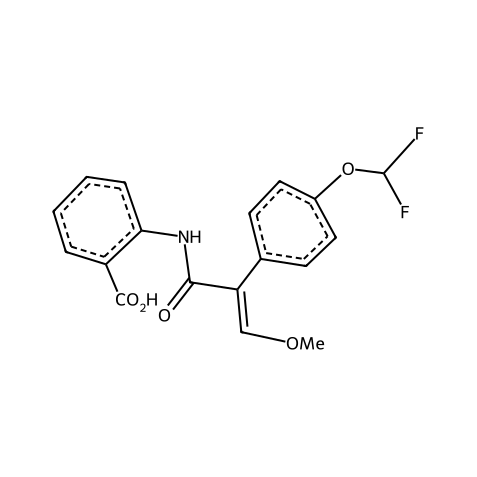 COC=C(C(=O)Nc1ccccc1C(=O)O)c1ccc(OC(F)F)cc1